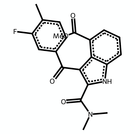 COC(=O)c1cccc2[nH]c(C(=O)N(C)C)c(C(=O)c3ccc(C)c(F)c3)c12